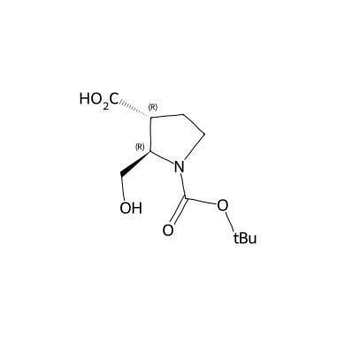 CC(C)(C)OC(=O)N1CC[C@@H](C(=O)O)[C@@H]1CO